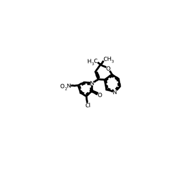 CC1(C)C=C(n2cc([N+](=O)[O-])cc(Cl)c2=O)c2cnccc2O1